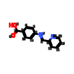 O=C(O)c1ccc(/N=C/c2ccccn2)cc1